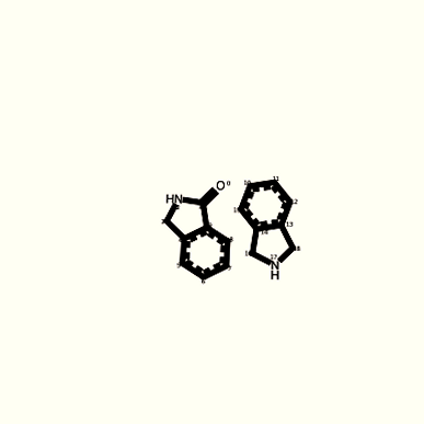 O=C1NCc2ccccc21.c1ccc2c(c1)CNC2